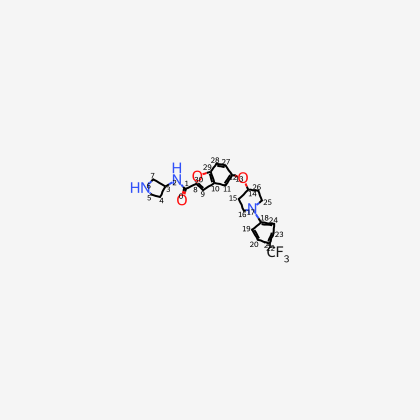 O=C(NC1CCNC1)c1cc2cc(OC3CCN(c4ccc(C(F)(F)F)cc4)CC3)ccc2o1